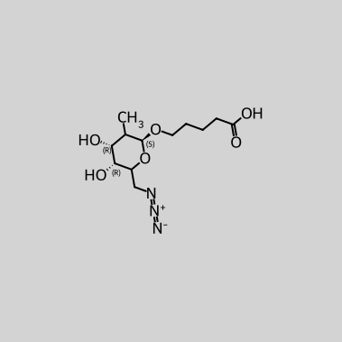 CC1[C@@H](OCCCCC(=O)O)OC(CN=[N+]=[N-])[C@H](O)[C@@H]1O